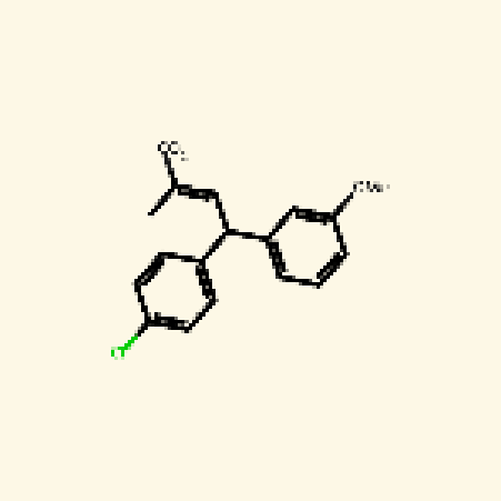 COc1cccc(C(C=C(C)C(=O)O)c2ccc(Cl)cc2)c1